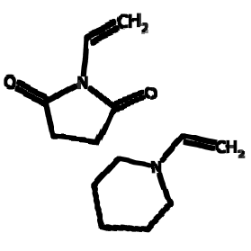 C=CN1C(=O)CCC1=O.C=CN1CCCCC1